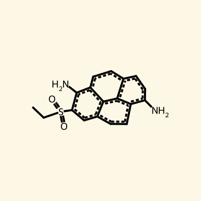 CCS(=O)(=O)c1cc2ccc3c(N)ccc4ccc(c1N)c2c43